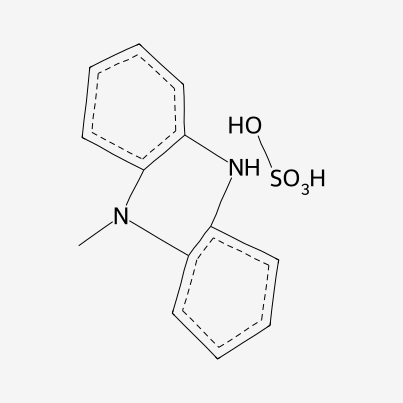 CN1c2ccccc2Nc2ccccc21.O=S(=O)(O)O